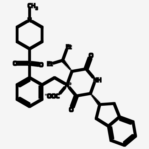 CCC(CC)[C@@H]1C(=O)N[C@H](C2Cc3ccccc3C2)C(=O)[N+]1(Cc1ccccc1S(=O)(=O)C1CCN(C)CC1)C(=O)[O-]